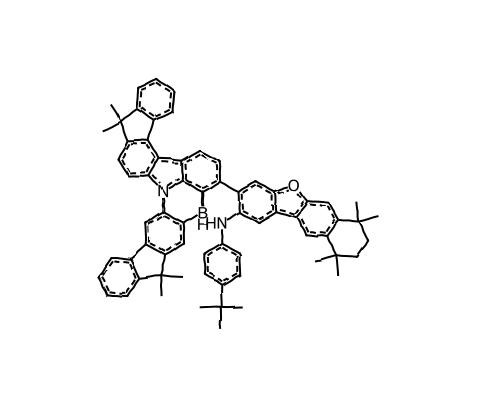 CC(C)(C)c1ccc(Nc2cc3c(cc2-c2ccc4c5c6c(ccc5n5c4c2Bc2cc4c(cc2-5)-c2ccccc2C4(C)C)C(C)(C)c2ccccc2-6)oc2cc4c(cc23)C(C)(C)CCC4(C)C)cc1